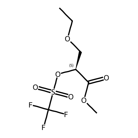 CCOC[C@H](OS(=O)(=O)C(F)(F)F)C(=O)OC